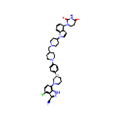 N#Cc1n[nH]c2c(N3CCC[C@@H](c4ccc(N5CCC(CN6CCC(n7ccc8c(N9CCC(=O)NC9=O)cccc87)CC6)CC5)cc4)C3)ccc(Cl)c12